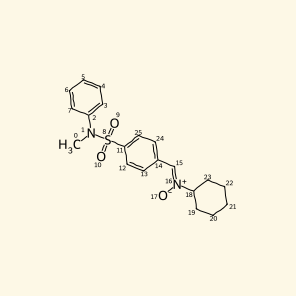 CN(c1ccccc1)S(=O)(=O)c1ccc(/C=[N+](\[O-])C2CCCCC2)cc1